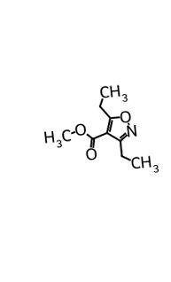 CCc1noc(CC)c1C(=O)OC